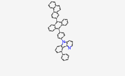 c1ccc(-c2cccc3c2c2ncccc2n3-c2ccc(-c3c4ccccc4c(-c4ccc5c(ccc6ccccc65)c4)c4ccccc34)cc2)cc1